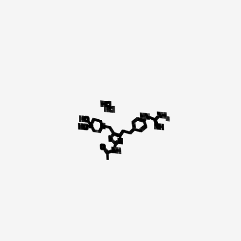 CC(=O)Nc1nc(CCc2ccc(NC(=N)N)cc2)c(CN2CCS(O)(O)CC2)s1.Cl.Cl